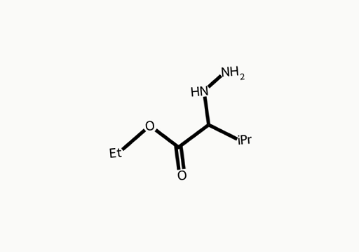 CCOC(=O)C(NN)C(C)C